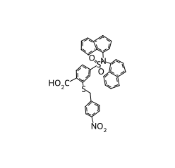 O=C(O)c1ccc(S(=O)(=O)N(c2cccc3ccccc23)c2cccc3ccccc23)cc1SCc1ccc([N+](=O)[O-])cc1